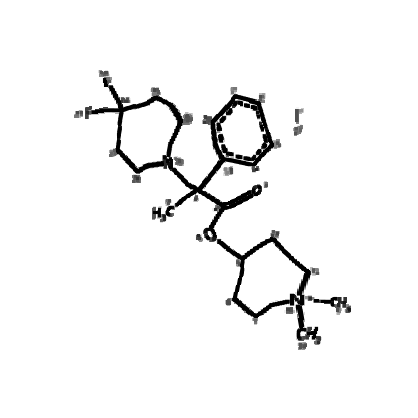 CC(C(=O)OC1CC[N+](C)(C)CC1)(c1ccccc1)N1CCC(F)(F)CC1.[I-]